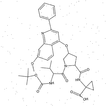 COc1ccc2c(OC3CC(C(=O)NC4(C(=O)O)CC4)N(C(=O)C(NC(=O)OC(C)(C)C)C(C)C)C3)cc(-c3ccccc3)nc2c1